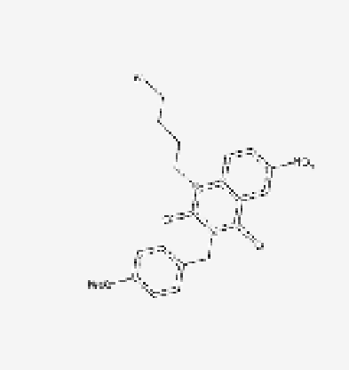 COc1ccc(Cn2c(=O)c3cc([N+](=O)[O-])ccc3n(CCCCBr)c2=O)cc1